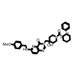 COc1ccc(CNc2ccc3ncn(CC4(O)CCN(C(=O)[C@@H]5CCCC[C@H]5c5ccccc5)CC4)c(=O)c3n2)cc1